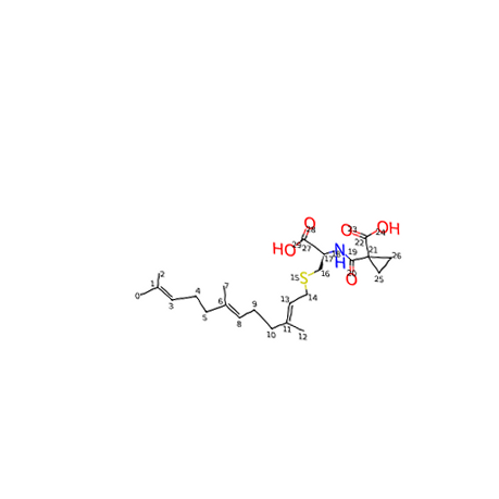 CC(C)=CCC/C(C)=C/CC/C(C)=C/CSC[C@H](NC(=O)C1(C(=O)O)CC1)C(=O)O